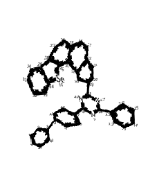 c1ccc(-c2ccc(-c3nc(-c4ccccc4)nc(-c4ccc5ccc6ccc7c8ccccc8[se]c7c6c5c4)n3)cc2)cc1